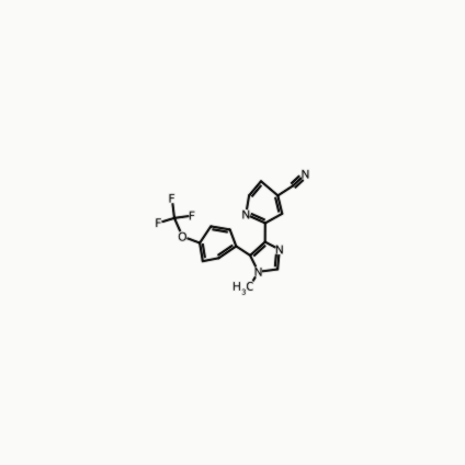 Cn1cnc(-c2cc(C#N)ccn2)c1-c1ccc(OC(F)(F)F)cc1